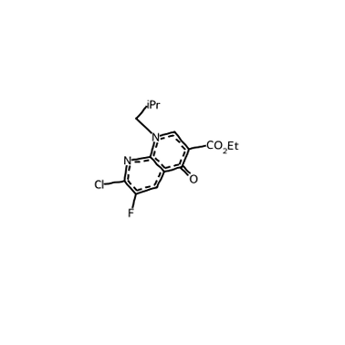 CCOC(=O)c1cn(CC(C)C)c2nc(Cl)c(F)cc2c1=O